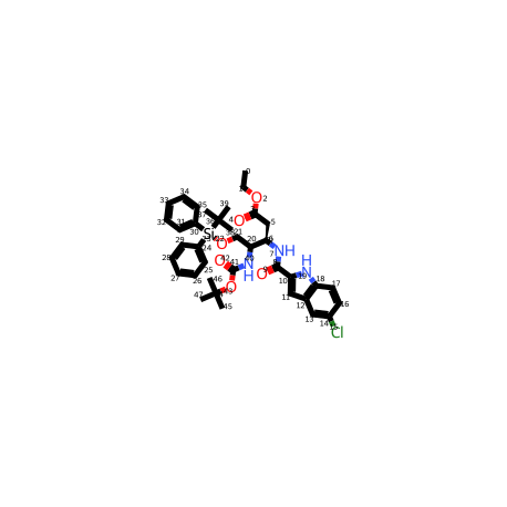 CCOC(=O)C[C@@H](NC(=O)c1cc2cc(Cl)ccc2[nH]1)C(CO[Si](c1ccccc1)(c1ccccc1)C(C)(C)C)NC(=O)OC(C)(C)C